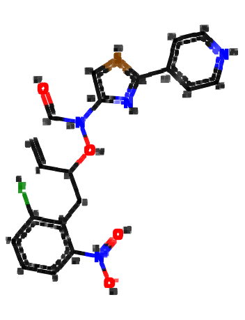 C=CC(Cc1c(F)cccc1[N+](=O)[O-])ON(C=O)c1csc(-c2ccncc2)n1